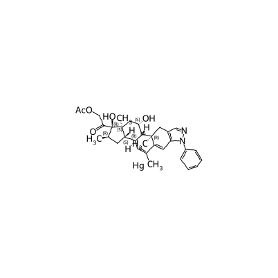 CC(=O)OCC(=O)[C@@]1(O)[C@H](C)C[C@H]2[C@@H]3C=C(C)C4=Cc5c(cnn5-c5ccccc5)C[C@]4(C)[C@H]3[C@@H](O)C[C@@]21C.[Hg]